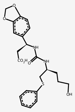 O=C(O)C[C@H](NC(=O)N[C@@H](CCCO)CSc1ccccc1)c1ccc2c(c1)OCO2